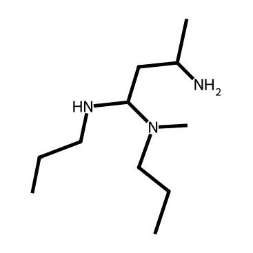 CCCNC(CC(C)N)N(C)CCC